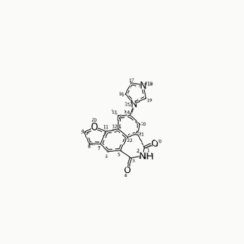 O=C1NC(=O)c2cc3ccoc3c3cc(-n4ccnc4)cc1c23